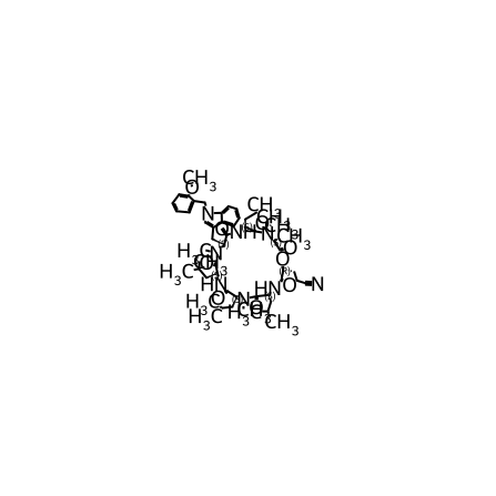 COc1ccccc1Cn1cc(C[C@H]2C(=O)N[C@@H](CC(C)C)C(=O)N(C)[C@@H](C)C(=O)O[C@H](CCC#N)C(=O)N[C@@H](CC(C)C)C(=O)N(C)[C@@H](CC(C)C)C(=O)N[C@@H](CC(C)C)C(=O)N2C)c2ccccc21